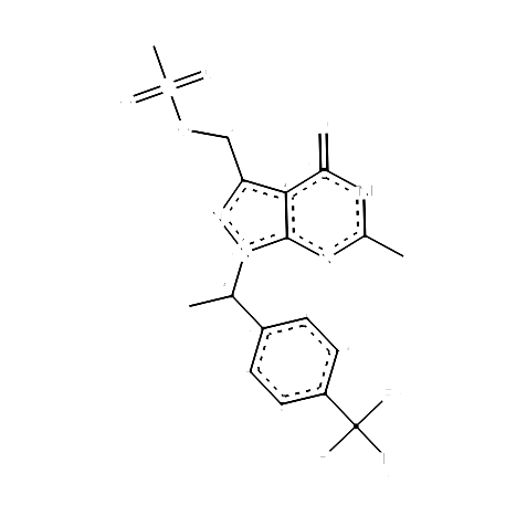 Cc1nc2c(c(COS(C)(=O)=O)nn2C(C)c2ccc(C(F)(F)F)cc2)c(=O)[nH]1